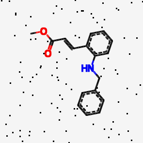 COC(=O)/C=C/c1ccccc1NCc1ccccc1